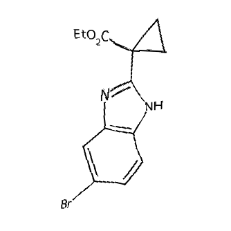 CCOC(=O)C1(c2nc3cc(Br)ccc3[nH]2)CC1